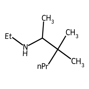 CCCC(C)(C)C(C)NCC